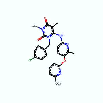 CCCn1c(=O)c(C)c(Nc2ccc(Oc3cccc(C(=O)O)n3)c(C)n2)n(Cc2ccc(Cl)cc2)c1=O